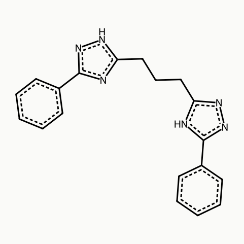 c1ccc(-c2n[nH]c(CCCc3nnc(-c4ccccc4)[nH]3)n2)cc1